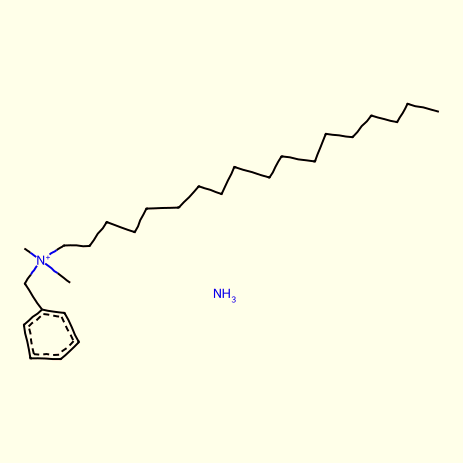 CCCCCCCCCCCCCCCCCC[N+](C)(C)Cc1ccccc1.N